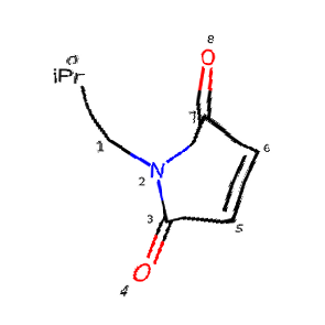 CC(C)CN1C(=O)C=CC1=O